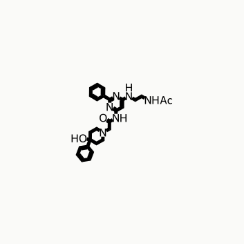 CC(=O)NCCNc1cc(NC(=O)CN2CCC(O)(c3ccccc3)CC2)nc(-c2ccccc2)n1